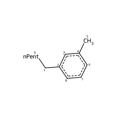 CCCCCCc1[c]c(C)ccc1